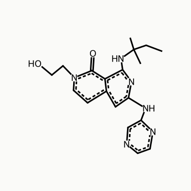 CCC(C)(C)Nc1nc(Nc2cnccn2)cc2ccn(CCO)c(=O)c12